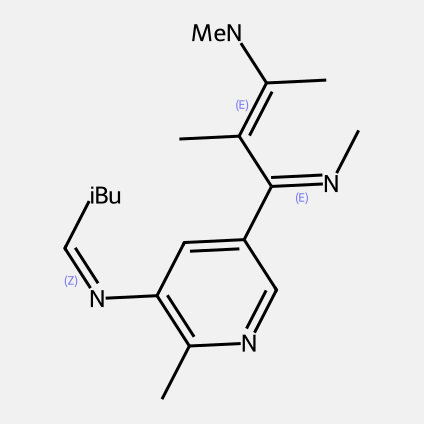 CCC(C)/C=N\c1cc(C(=N/C)/C(C)=C(\C)NC)cnc1C